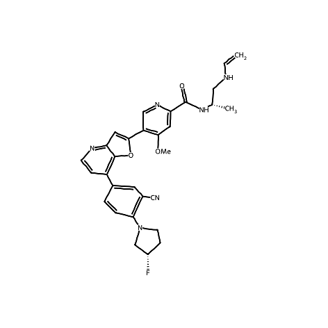 C=CNC[C@H](C)NC(=O)c1cc(OC)c(-c2cc3nccc(-c4ccc(N5CC[C@H](F)C5)c(C#N)c4)c3o2)cn1